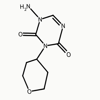 Nn1cnc(=O)n(C2CCOCC2)c1=O